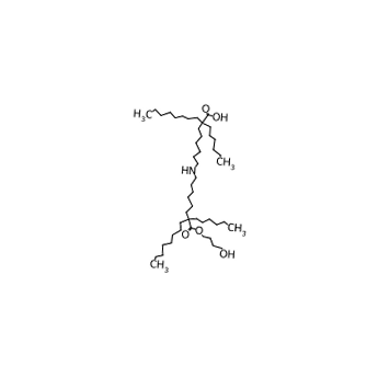 CCCCCCCCC(CCCCCC)(CCCCCCNCCCCCCC(CCCCCC)(CCCCCCCC)C(=O)OCCCCO)C(=O)O